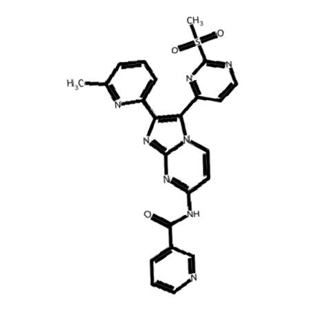 Cc1cccc(-c2nc3nc(NC(=O)c4cccnc4)ccn3c2-c2ccnc(S(C)(=O)=O)n2)n1